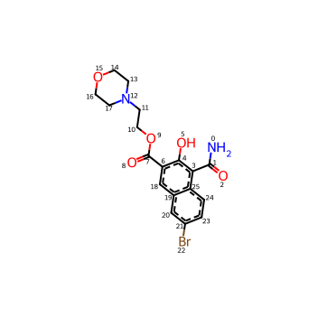 NC(=O)c1c(O)c(C(=O)OCCN2CCOCC2)cc2cc(Br)ccc12